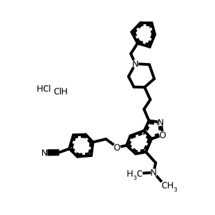 CN(C)Cc1cc(OCc2ccc(C#N)cc2)cc2c(CCC3CCN(Cc4ccccc4)CC3)noc12.Cl.Cl